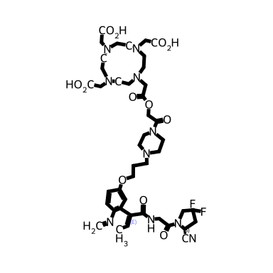 C=Nc1ccc(OCCCN2CCN(C(=O)COC(=O)CN3CCN(CC(=O)O)CCN(CC(=O)O)CCN(CC(=O)O)CC3)CC2)cc1/C(=C\C)C(=O)NCC(=O)N1CC(F)(F)C[C@H]1C#N